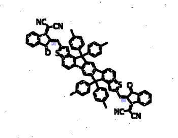 Cc1ccc(C2(c3ccc(C)cc3)c3cc4c(cc3-c3ccc5sc(/C=C6\C(=O)c7ccccc7C6=C(C#N)C#N)cc5c32)C(c2ccc(C)cc2)(c2ccc(C)cc2)c2c-4ccc3sc(/C=C4\C(=O)c5ccccc5C4=C(C#N)C#N)cc23)cc1